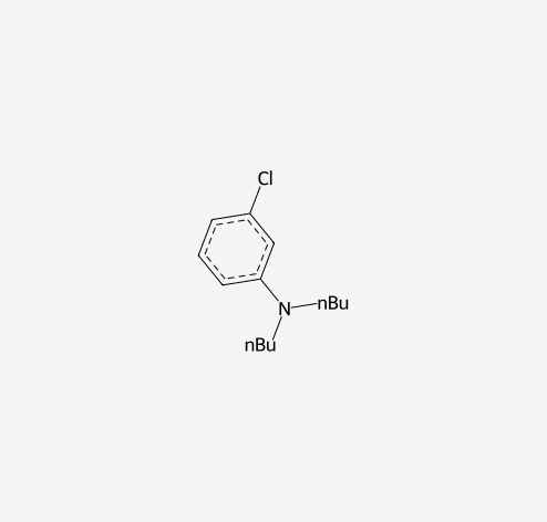 CCCCN(CCCC)c1cccc(Cl)c1